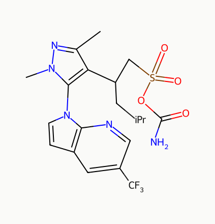 Cc1nn(C)c(-n2ccc3cc(C(F)(F)F)cnc32)c1C(CC(C)C)CS(=O)(=O)OC(N)=O